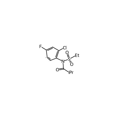 CCS(=O)(=O)N(C(=O)C(C)C)c1c[c]c(F)cc1Cl